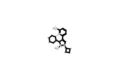 Cc1cccc(C2=CN(C3CCC3)N(C)C2C2CCCCC2)n1